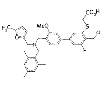 COc1cc(-c2cc(F)c(CO)c(SCC(=O)O)c2)ccc1CN(Cc1ccc(C(F)(F)F)o1)Cc1c(C)cc(C)cc1C